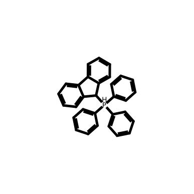 c1ccc([PH](c2ccccc2)(c2ccccc2)C2c3ccccc3-c3ccccc32)cc1